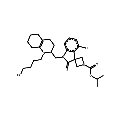 CC(C)OC(=O)N1CC2(C1)C(=O)N(CC1CCC3=C(CCCC3)N1CCCCO)c1cccc(Cl)c12